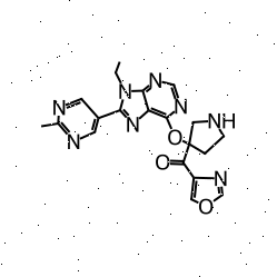 CCn1c(-c2cnc(C)nc2)nc2c(OC3(C(=O)c4cocn4)CCNC3)ncnc21